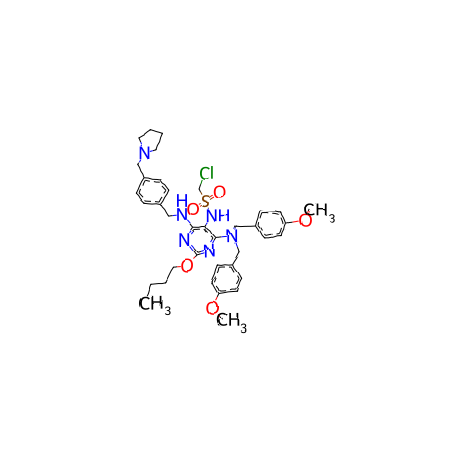 CCCCOc1nc(NCc2ccc(CN3CCCC3)cc2)c(NS(=O)(=O)CCl)c(N(Cc2ccc(OC)cc2)Cc2ccc(OC)cc2)n1